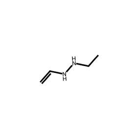 C=CNNCC